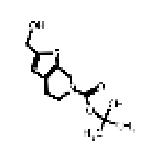 CC(C)(C)OC(=O)N1CCc2cc(CO)sc2C1